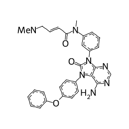 CNCC=CC(=O)N(C)c1cccc(-n2c(=O)n(-c3ccc(Oc4ccccc4)cc3)c3c(N)ncnc32)c1